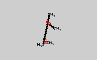 CCCCCCOC(CCCCCCCCCCCC=CC(CCC)OOC)OCCCCCC